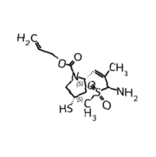 C=CCOC(=O)N1C[C@@H](S)C[C@H]1C=C(C)C(N)S(C)(=O)=O